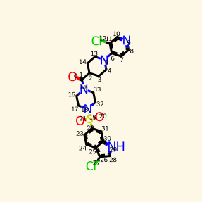 O=C(C1CCN(c2ccncc2Cl)CC1)N1CCN(S(=O)(=O)c2ccc3c(Cl)c[nH]c3c2)CC1